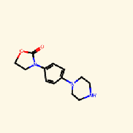 O=C1OCCN1c1ccc(N2CCNCC2)cc1